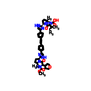 COC(=O)N[C@H](C(=O)N1[C@@H](C)CC[C@H]1c1nc(-c2ccc(C#Cc3ccc(-c4c[nH]c([C@@H]5CC[C@H](C)N5C(=O)[C@@H](NC(=O)O)C(C)C)n4)cc3)cc2)c[nH]1)C1CCOCC1